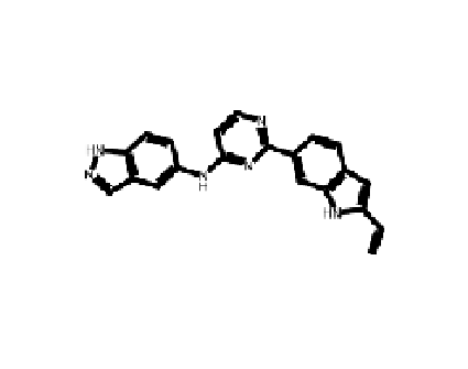 C=Cc1cc2ccc(-c3nccc(Nc4ccc5[nH]ncc5c4)n3)cc2[nH]1